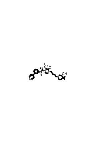 C[C@H]1C(=O)N(CCCCN2CCC3(CC3)[C@H](O)C2)CCN1C(=O)Nc1cccc(-c2ccncc2)c1